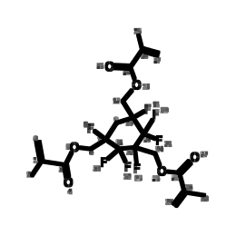 C=C(C)C(=O)OCC1(F)CC(F)(COC(=O)C(=C)C)C(F)(F)C(F)(COC(=O)C(=C)C)C1(F)F